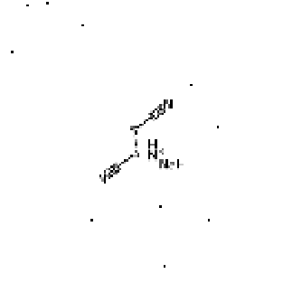 N.N#CSSC#N.[NaH]